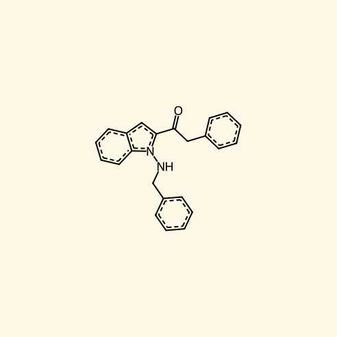 O=C(Cc1ccccc1)c1cc2ccccc2n1NCc1ccccc1